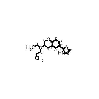 CCCN(CC)C1COc2ccc(-c3ncc[nH]3)cc2C1